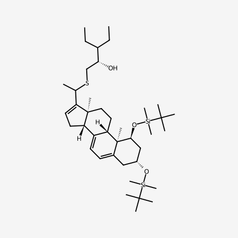 CCC(CC)[C@H](O)CSC(C)C1=CC[C@H]2C3=CC=C4C[C@@H](O[Si](C)(C)C(C)(C)C)C[C@H](O[Si](C)(C)C(C)(C)C)[C@]4(C)[C@H]3CC[C@]12C